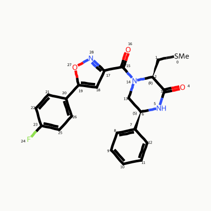 CSC[C@H]1C(=O)N[C@@H](c2ccccc2)CN1C(=O)c1cc(-c2ccc(F)cc2)on1